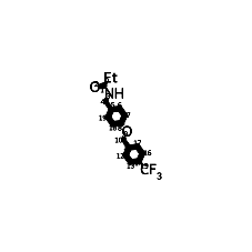 CCC(=O)NCc1ccc(OCc2ccc(C(F)(F)F)cc2)cc1